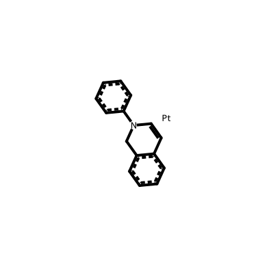 C1=CN(c2ccccc2)Cc2ccccc21.[Pt]